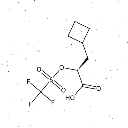 O=C(O)[C@H](CC1CCC1)OS(=O)(=O)C(F)(F)F